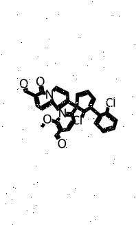 COc1nc(C2(c3ccn4c(=O)c(C=O)ccc4c3)C=CC=C(c3ccccc3Cl)C2Cl)ccc1C=O